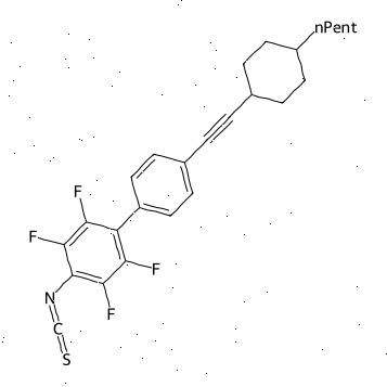 CCCCCC1CCC(C#Cc2ccc(-c3c(F)c(F)c(N=C=S)c(F)c3F)cc2)CC1